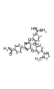 CN1CCN=C1c1cccc(Oc2cc(Oc3cc(C(=N)N)ccc3O)nc(-c3ccc(C(N)=O)cc3)n2)c1